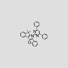 CC1(C)c2ccccc2-c2c1n(-c1nc(-c3ccccc3)cc(-c3ccccc3)n1)c1c2oc2ccccc21